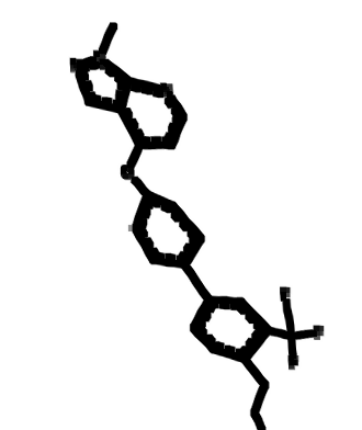 Cn1ncc2c(Oc3[c]cc(-c4ccc(CCF)c(C(F)(F)F)c4)cc3)ccnc21